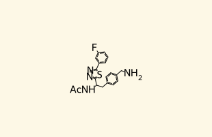 CC(=O)NC(Cc1ccc(CN)cc1)c1nnc(-c2cccc(F)c2)s1